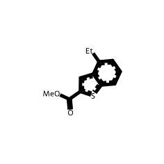 CCc1cccc2sc(C(=O)OC)cc12